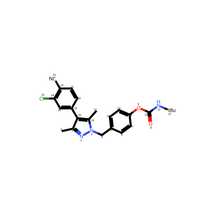 Cc1nn(Cc2ccc(OC(=O)NC(C)(C)C)cc2)c(C)c1-c1ccc(C#N)c(Cl)c1